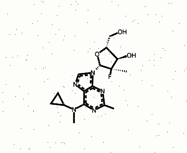 Cc1nc(N(C)C2CC2)c2ncn([C@@H]3O[C@H](CO)[C@@H](O)[C@@]3(C)F)c2n1